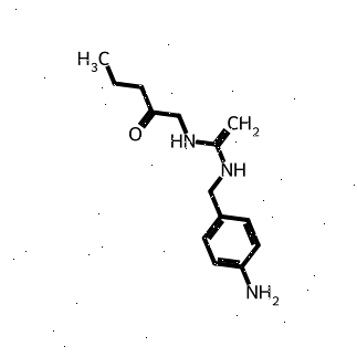 C=C(NCC(=O)CCC)NCc1ccc(N)cc1